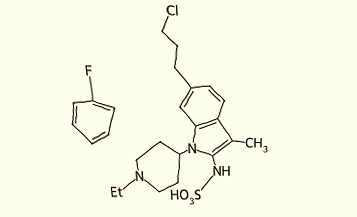 CCN1CCC(n2c(NS(=O)(=O)O)c(C)c3ccc(CCCCl)cc32)CC1.Fc1ccccc1